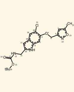 Cc1cc(COc2cc3[nH]c(CNC(=O)OC(C)(C)C)cc3cc2Cl)no1